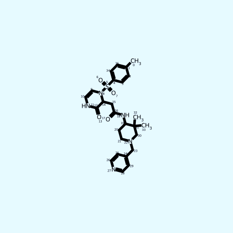 Cc1ccc(S(=O)(=O)N2C=CNC(=O)C2CC(=O)NC2CCN(Cc3ccncc3)CC2(C)C)cc1